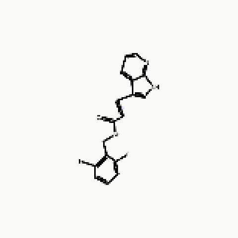 O=C(/C=C/c1c[nH]c2ncccc12)NCc1c(F)cccc1F